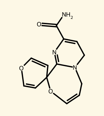 NC(=O)C1=CCN2CC=COC3(C=COC=C3)C2=N1